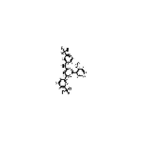 COc1ccncc1-c1nc(Nc2ccnc(C(F)(F)F)c2)nc(-c2cccc(C(F)(F)F)n2)n1